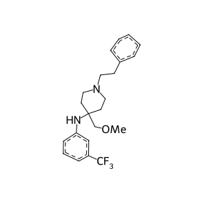 COCC1(Nc2cccc(C(F)(F)F)c2)CCN(CCc2ccccc2)CC1